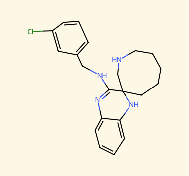 Clc1cccc(CNC2=Nc3ccccc3NC23CCCCCNC3)c1